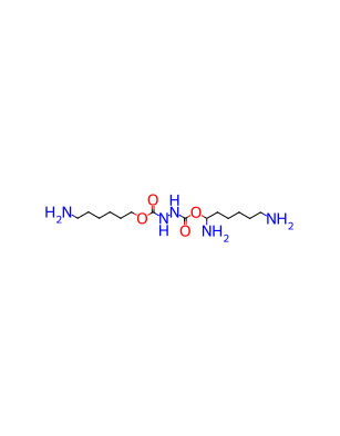 NCCCCCCOC(=O)NNC(=O)OC(N)CCCCCN